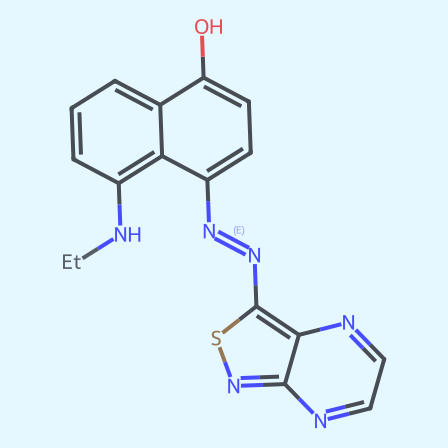 CCNc1cccc2c(O)ccc(/N=N/c3snc4nccnc34)c12